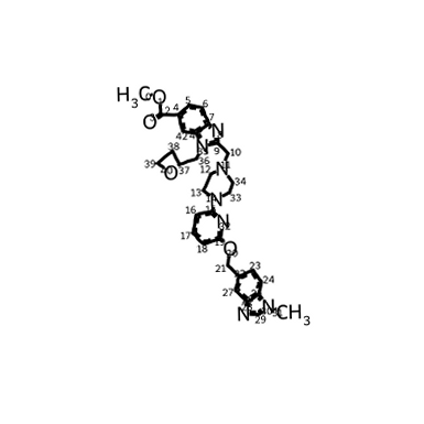 COC(=O)c1ccc2nc(CN3CCN(c4cccc(OCc5ccc6c(c5)ncn6C)n4)CC3)n(CC3CCO3)c2c1